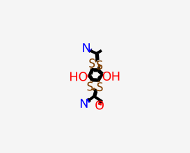 CC(C#N)=C1Sc2c(O)c3c(c(O)c2S1)SC(=C(C#N)C=O)S3